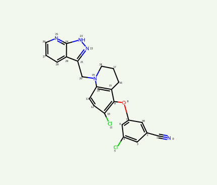 N#Cc1cc(Cl)cc(Oc2c(Cl)ccc3c2CCCN3Cc2n[nH]c3ncccc23)c1